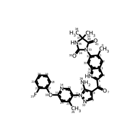 Cc1cc2cc(C(=O)c3cnn(-c4cnc(Oc5ccccc5F)cc4C)c3N)[nH]c2cc1N1C(=O)NC(C)(C)C1=O